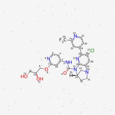 O=C(Nc1ccnc(OC[C@@H](O)CO)c1)N1c2nc(-c3ccnc(C(F)(F)F)c3)c(Cl)cc2N2CC[C@H]1C2